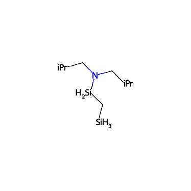 CC(C)CN(CC(C)C)[SiH2]C[SiH3]